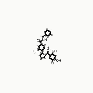 C=C(c1cc(Cl)c(O)cc1O)N1CCCC1c1ccc(C(=O)NCc2ccccc2)cc1C